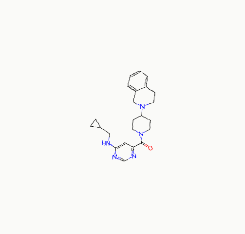 O=C(c1cc(NCC2CC2)ncn1)N1CCC(N2CCc3ccccc3C2)CC1